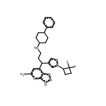 Nc1cc(C(CCNC2CCC(c3ccccc3)CC2)c2cnn(C3CCC3(F)F)c2)c2nn[nH]c2n1